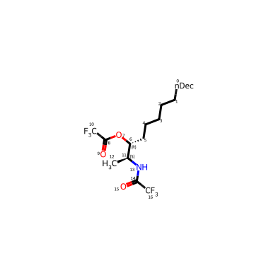 CCCCCCCCCCCCCCC[C@@H](OC(=O)C(F)(F)F)[C@H](C)NC(=O)C(F)(F)F